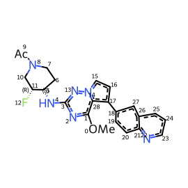 COc1nc(N[C@H]2CCN(C(C)=O)C[C@H]2F)nn2ccc(-c3ccc4ncccc4c3)c12